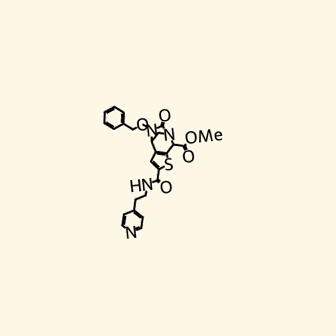 COC(=O)C1c2sc(C(=O)NCCc3ccncc3)cc2C2CN1C(=O)N2OCc1ccccc1